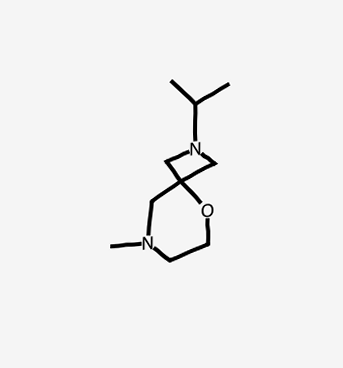 CC(C)N1CC2(CN(C)CCO2)C1